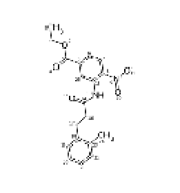 CCOC(=O)c1ccc([N+](=O)[O-])c(NC(=O)CCc2ccccc2C)c1